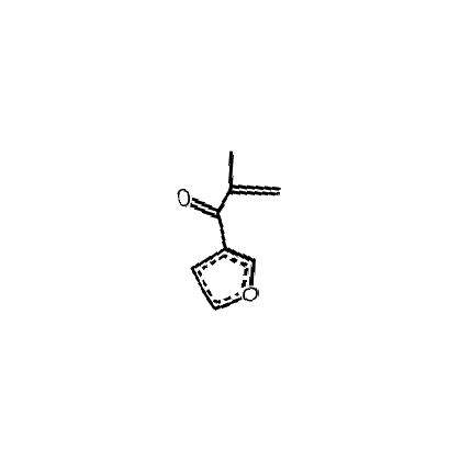 C=C(C)C(=O)c1ccoc1